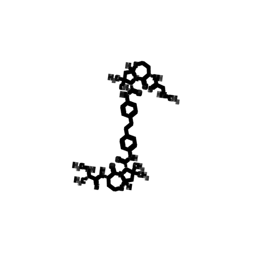 CNCC(=S)N[C@H]1CCS[C@H]2CC(C)(C)[C@@H](C(=O)Nc3ccc(CCc4ccc(NC(=O)[C@H]5N6C(=O)[C@@H](NC(=S)[C@H](C)NC)CCS[C@H]6CC5(C)C)cc4)cc3)N2C1=O